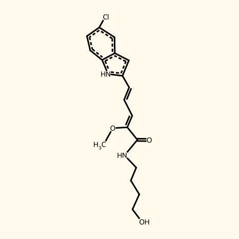 CO/C(=C\C=C\c1cc2cc(Cl)ccc2[nH]1)C(=O)NCCCCO